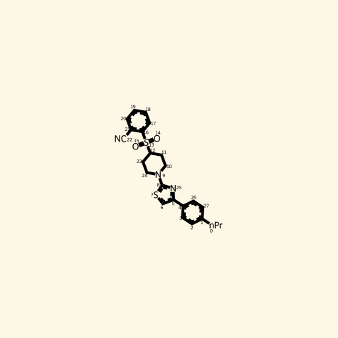 CCCc1ccc(-c2csc(N3CCC(S(=O)(=O)c4ccccc4C#N)CC3)n2)cc1